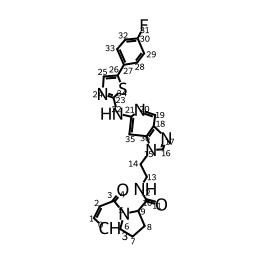 C/C=C\C(=O)N1CCCC1C(=O)NCCn1cnc2cnc(Nc3ncc(-c4ccc(F)cc4)s3)cc21